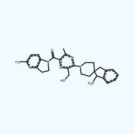 Cc1nc(N2CCC3(CC2)Cc2ccccc2C3N)c(CO)nc1C(=O)N1CCc2nc(N)ccc21